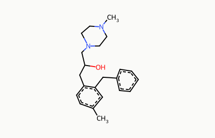 Cc1ccc(CC(O)CN2CCN(C)CC2)c(Cc2ccccc2)c1